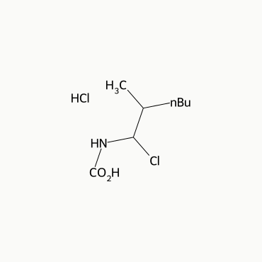 CCCCC(C)C(Cl)NC(=O)O.Cl